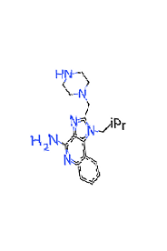 CC(C)Cn1c(CN2CCNCC2)nc2c(N)nc3ccccc3c21